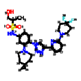 CC(CO)S(=O)(=O)Nc1ccc(-n2cc(-c3cccc(N4CCC(F)(F)CC4)n3)nn2)c(N2CCC3(CC2)CC3)c1